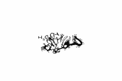 CC(C)(C)OC(=O)N1C[C@@H](F)C[C@@H]1c1nc(-c2ccc(-c3ccccn3)cn2)no1